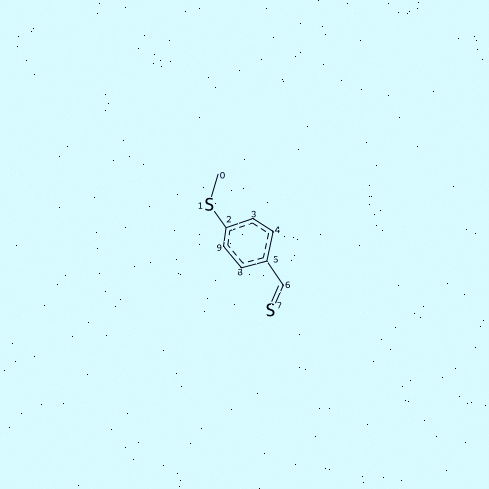 CSc1ccc(C=S)cc1